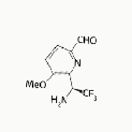 COc1ccc(C=O)nc1[C@H](N)C(F)(F)F